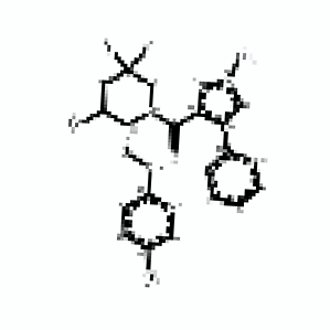 CC1CC(F)(F)CN(C(=O)c2nn(C)cc2-c2ccccn2)[C@@H]1COc1ccc(C(F)(F)F)cn1